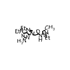 CCN(CC)c1nc(N)nc2c1ncn2CC(=O)Nc1cc(C)nn1CC